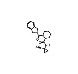 N#CC1(NC(=O)C2CCCCC2C(=O)N2Cc3ccccc3C2)CC1